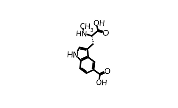 CN[C@@H](Cc1c[nH]c2ccc(C(=O)O)cc12)C(=O)O